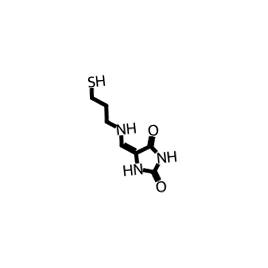 O=C1NC(=O)/C(=C\NCCCS)N1